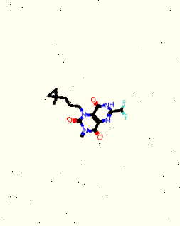 Cn1c(=O)c2nc(C(F)F)[nH]c(=O)c2n(CCCC2(C)CC2)c1=O